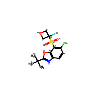 CC(C)(C)c1nc2ccc(Cl)c(S(=O)(=O)C3(F)COC3)c2o1